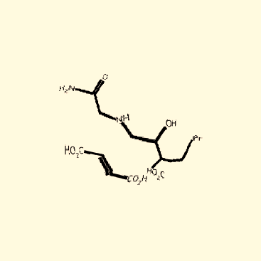 CC(C)CC(C(=O)O)C(O)CNCC(N)=O.O=C(O)C=CC(=O)O